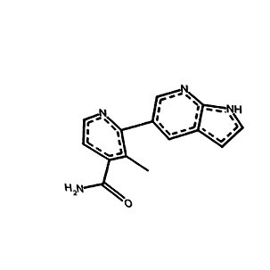 Cc1c(C(N)=O)ccnc1-c1cnc2[nH]ccc2c1